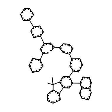 CC1(C)c2ccccc2-c2cc(-c3cccc4ccccc34)c(-c3cccc(-c4cccc(-c5cc(-c6ccc(-c7ccccc7)cc6)cc(-c6ccccc6)n5)c4)c3)cc21